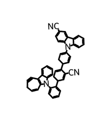 N#CC1=CC(c2ccccc2-n2c3c(c4ccccc42)C#CCC=C3)CC=C1C1C=CC(n2c3ccccc3c3cc(C#N)ccc32)=CC1